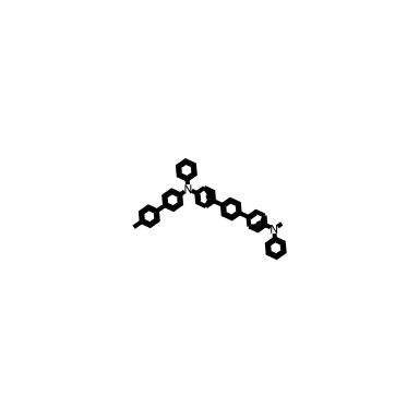 Cc1ccc(-c2ccc(N(C3=CC4CCC3C=C4c3ccc(C4=CC5CCC4C=C5N(C)c4ccccc4)cc3)c3ccccc3)cc2)cc1